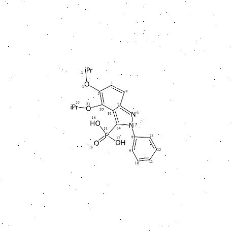 CC(C)Oc1ccc2nn(-c3ccccc3)c(P(=O)(O)O)c2c1OC(C)C